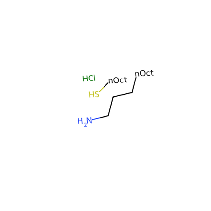 CCCCCCCCCCCN.CCCCCCCCS.Cl